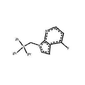 CC(C)S(Cn1ccc2c(F)ccnc21)(C(C)C)C(C)C